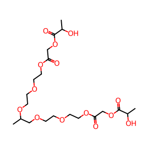 CC(COCCOCCOC(=O)COC(=O)C(C)O)OCCOCCOC(=O)COC(=O)C(C)O